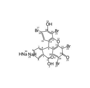 O=C(O)c1ccccc1C1C2=C(Oc3c1cc(Br)c(O)c3Br)C(Br)C(=O)C(Br)=C2.[NaH].[NaH]